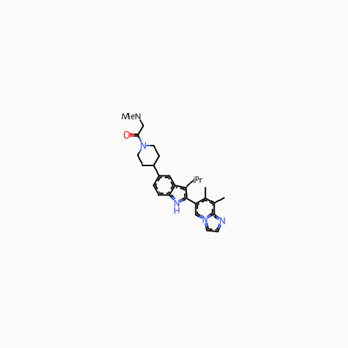 CNCC(=O)N1CCC(c2ccc3[nH]c(-c4cn5ccnc5c(C)c4C)c(C(C)C)c3c2)CC1